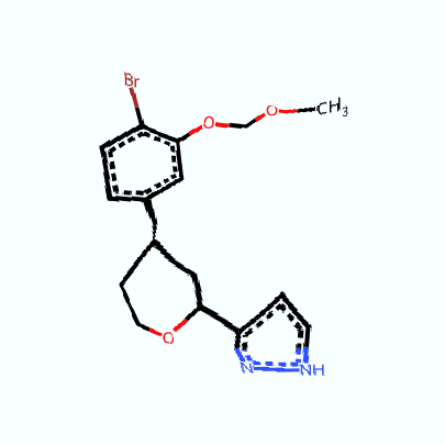 COCOc1cc([C@@H]2CCOC(c3cc[nH]n3)C2)ccc1Br